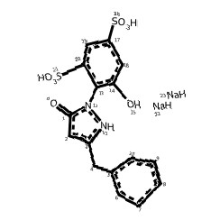 O=c1cc(Cc2ccccc2)[nH]n1-c1c(O)cc(S(=O)(=O)O)cc1S(=O)(=O)O.[NaH].[NaH]